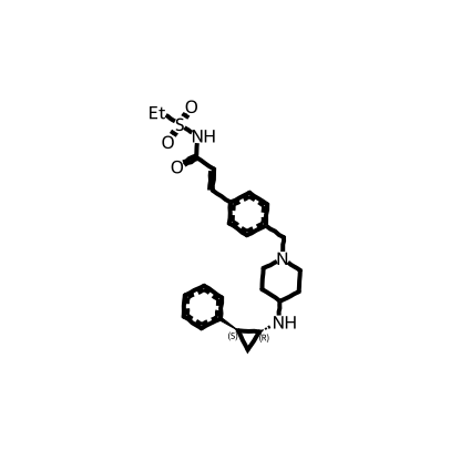 CCS(=O)(=O)NC(=O)C=Cc1ccc(CN2CCC(N[C@@H]3C[C@H]3c3ccccc3)CC2)cc1